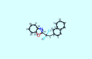 FC(F)(Cc1ccc2ccccc2c1)c1nc2ccccc2o1